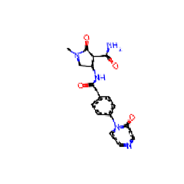 CN1CC(NC(=O)c2ccc(-n3ccncc3=O)cc2)C(C(N)=O)C1=O